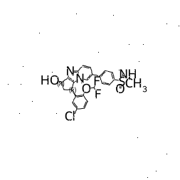 CS(=N)(=O)c1ccc(-c2ccc3nc4c(n3c2)[C@@H](c2cc(Cl)ccc2OC(F)F)C[C@H]4O)cc1